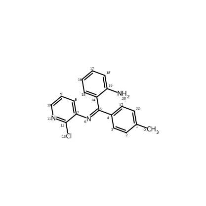 Cc1ccc(C(=Nc2cccnc2Cl)c2ccccc2N)cc1